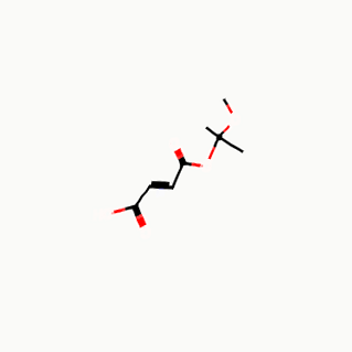 COC(C)(C)OC(=O)/C=C/C(=O)O